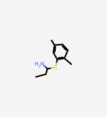 CCC(N)Sc1cc(C)ccc1C